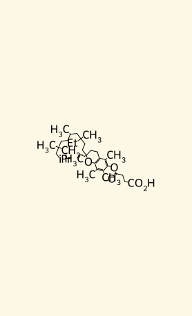 CCC(C)(CC[C@]1(C)CCc2c(C)c(OC(=O)CCC(=O)O)c(C)c(C)c2O1)C[C@H](C)CCC(C)(C)CC(C)C